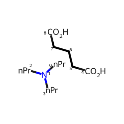 CCCN(CCC)CCC.O=C(O)CCCC(=O)O